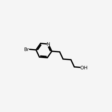 OCCCCc1ccc(Br)cn1